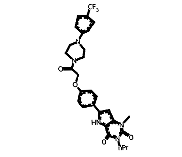 CCCn1c(=O)c2[nH]c(-c3ccc(OCC(=O)N4CCN(c5ccc(C(F)(F)F)cc5)CC4)cc3)cc2n(C)c1=O